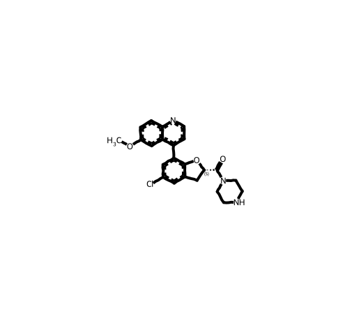 COc1ccc2nccc(-c3cc(Cl)cc4c3O[C@H](C(=O)N3CCNCC3)C4)c2c1